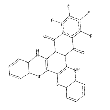 O=C1c2c(F)c(F)c(F)c(F)c2C(=O)C2C3=C(SC4C=CC=CC4N3)C3=C(NC4C=CC=CC4S3)C12